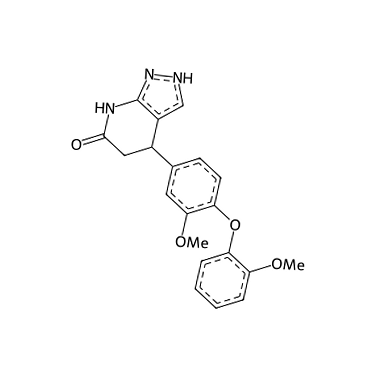 COc1ccccc1Oc1ccc(C2CC(=O)Nc3n[nH]cc32)cc1OC